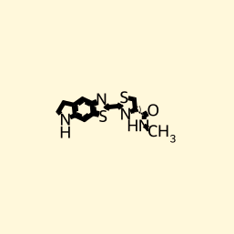 CNC(=O)[C@H]1CSC(c2nc3cc4c(cc3s2)NCC4)=N1